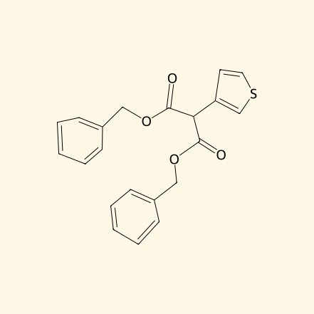 O=C(OCc1ccccc1)C(C(=O)OCc1ccccc1)c1ccsc1